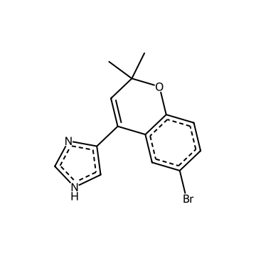 CC1(C)C=C(c2c[nH]cn2)c2cc(Br)ccc2O1